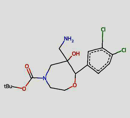 CC(C)(C)OC(=O)N1CCOC(c2ccc(Cl)c(Cl)c2)C(O)(CN)C1